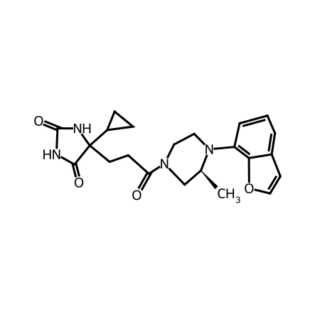 C[C@H]1CN(C(=O)CCC2(C3CC3)NC(=O)NC2=O)CCN1c1cccc2ccoc12